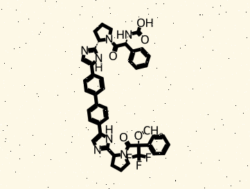 CO[C@](C(=O)N1CCCC1c1ncc(-c2ccc(-c3ccc(-c4cnc([C@@H]5CCCN5C(=O)[C@H](NC(=O)O)c5ccccc5)[nH]4)cc3)cc2)[nH]1)(c1ccccc1)C(F)(F)F